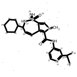 Cn1cc2c(c1C(=O)Nc1ccnc(C(F)F)c1)C=CC(C1CCCCC1)NS2(=N)=O